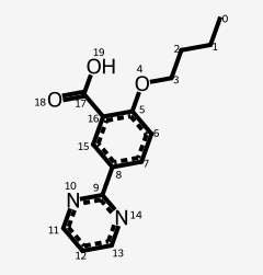 CCCCOc1ccc(-c2ncccn2)cc1C(=O)O